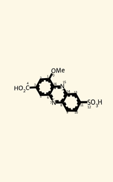 COc1cc(C(=O)O)cc2nc3ccc(S(=O)(=O)O)cc3nc12